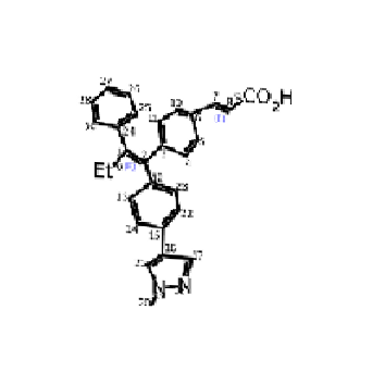 CC/C(=C(/c1ccc(/C=C/C(=O)O)cc1)c1ccc(-c2cnn(C)c2)cc1)c1ccccc1